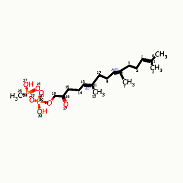 CC(C)=CCC/C(C)=C/CC/C(C)=C/CCC(=O)COP(=O)(O)OP(C)(=O)O